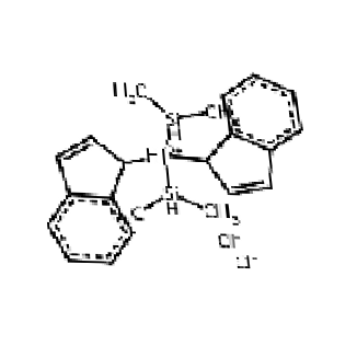 C[SiH](C)[Hf+2]([CH]1C=Cc2ccccc21)([CH]1C=Cc2ccccc21)[SiH](C)C.[Cl-].[Cl-]